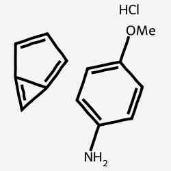 COc1ccc(N)cc1.Cl.c1cc2cc-2c1